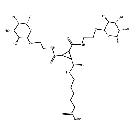 CNC(=O)CCCCCNC(=O)C1C(C(=O)NCCO[C@@H]2O[C@@H](C)[C@@H](O)[C@@H](O)[C@@H]2O)C1C(=O)NCCO[C@@H]1O[C@@H](C)[C@@H](O)[C@@H](O)[C@@H]1O